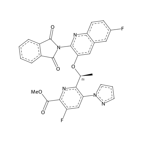 COC(=O)c1nc([C@H](C)Oc2cc3cc(F)ccc3nc2N2C(=O)c3ccccc3C2=O)c(-n2cccn2)cc1F